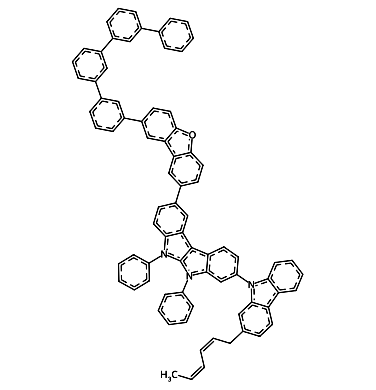 C/C=C\C=C/Cc1ccc2c3ccccc3n(-c3ccc4c5c6cc(-c7ccc8oc9ccc(-c%10cccc(-c%11cccc(-c%12cccc(-c%13ccccc%13)c%12)c%11)c%10)cc9c8c7)ccc6n(-c6ccccc6)c5n(-c5ccccc5)c4c3)c2c1